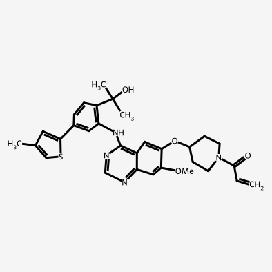 C=CC(=O)N1CCC(Oc2cc3c(Nc4cc(-c5cc(C)cs5)ccc4C(C)(C)O)ncnc3cc2OC)CC1